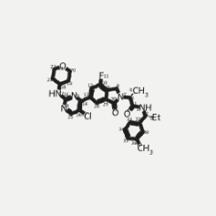 CC[C@@H](NC(=O)[C@@H](C)N1Cc2c(F)cc(-c3nc(NC4CCOCC4)ncc3Cl)cc2C1=O)c1cccc(C)c1